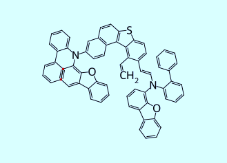 C=Cc1c(/C=C/N(c2ccccc2-c2ccccc2)c2cccc3c2oc2ccccc23)ccc2sc3ccc4cc(N(c5ccccc5-c5ccccc5)c5cccc6c5oc5ccccc56)ccc4c3c12